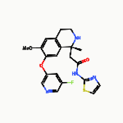 COc1cc2c(cc1Oc1cncc(F)c1)[C@@](C)(CC(=O)Nc1nccs1)NCC2